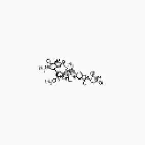 COc1cc2c(-c3cc(OC)c(CN4CCN(c5ccc6c(c5)C(=O)N(C5CCC(=O)NC5=O)C6)CC4(C)C)c(OC)c3)cn(C)c(=O)c2cn1